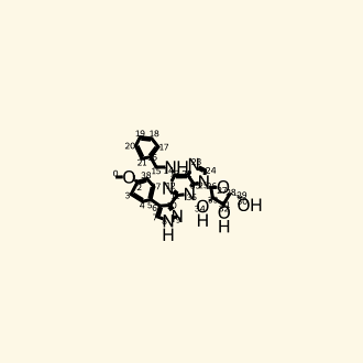 COc1ccc(-c2c[nH]nc2-c2nc(NCc3ccccc3)c3ncn([C@@H]4O[C@H](CO)[C@@H](O)[C@H]4O)c3n2)cc1